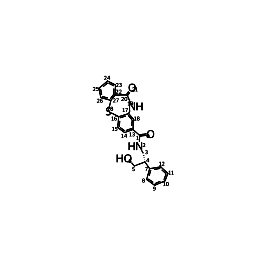 O=C(NC[C@@H](CO)c1ccccc1)c1ccc2c(c1)NC(=O)c1ccccc1S2